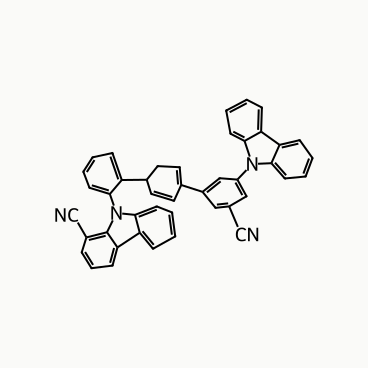 N#Cc1cc(C2=CCC(c3ccccc3-n3c4ccccc4c4cccc(C#N)c43)C=C2)cc(-n2c3ccccc3c3ccccc32)c1